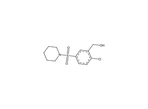 O=S(=O)(c1ccc(Cl)c(CO)c1)N1CCCCC1